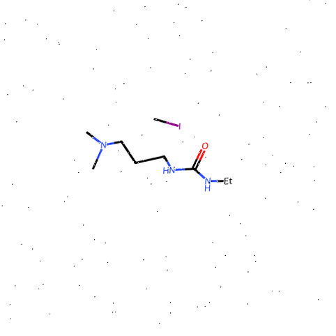 CCNC(=O)NCCCN(C)C.CI